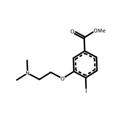 COC(=O)c1ccc(I)c(OCCN(C)C)c1